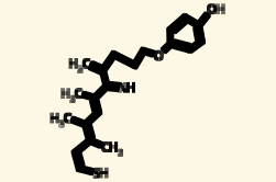 C=C(CCCOc1ccc(O)cc1)C(=N)/C(C)=C/C(C)=C(C)/C=C\S